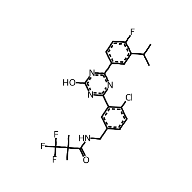 CC(C)c1cc(-c2nc(O)nc(-c3cc(CNC(=O)C(C)(C)C(F)(F)F)ccc3Cl)n2)ccc1F